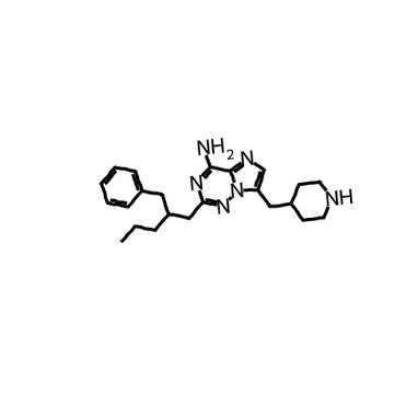 CCCC(Cc1ccccc1)Cc1nc(N)c2ncc(CC3CCNCC3)n2n1